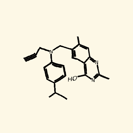 C#CCN(Cc1cc2c(O)nc(C)nc2cc1C)c1ccc(C(C)C)cc1